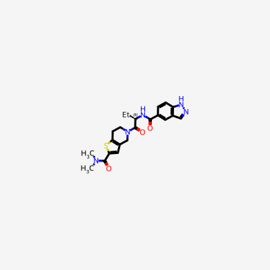 CC[C@@H](NC(=O)c1ccc2[nH]ncc2c1)C(=O)N1CCc2sc(C(=O)N(C)C)cc2C1